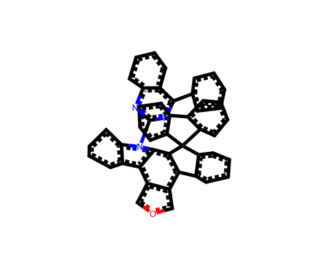 c1ccc(-c2nc(-n3c4ccccc4c4c5cocc5c5c(c43)C3(c4ccccc4-c4ccccc43)c3ccccc3-5)nc3ccccc23)cc1